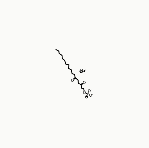 CCCCCCCCCCCCC(=O)CCC(=O)CCOP(=O)([O-])[O-].[Na+].[Na+]